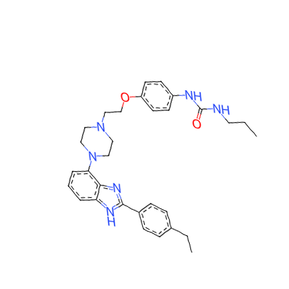 CCCNC(=O)Nc1ccc(OCCN2CCN(c3cccc4[nH]c(-c5ccc(CC)cc5)nc34)CC2)cc1